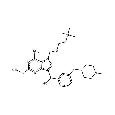 CCCCOc1nc(N)c2c(n1)c(C(O)c1cccc(CN3CCN(C)CC3)c1)cn2COCC[Si](C)(C)C